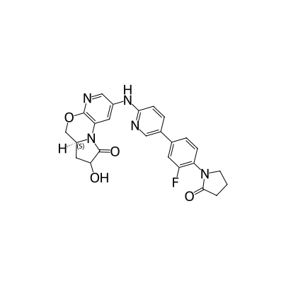 O=C1CCCN1c1ccc(-c2ccc(Nc3cnc4c(c3)N3C(=O)C(O)C[C@H]3CO4)nc2)cc1F